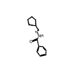 O=C(NN=CC1CCCC1)c1ccccc1